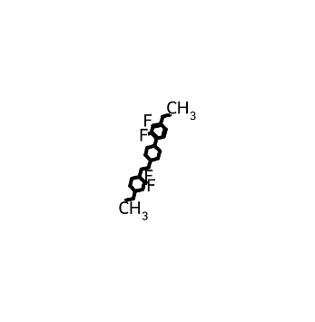 CCCc1ccc(C2CCC(CCC3CCC(CCC)CC3(F)F)CC2)c(F)c1F